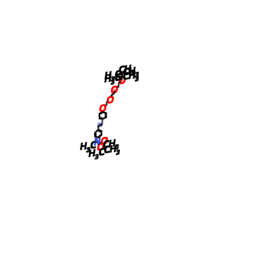 CN(C(=O)OC(C)(C)C)c1ccc(/C=C/c2ccc(OCCOCCOCCO[Si](C)(C)C(C)(C)C)cc2)cc1